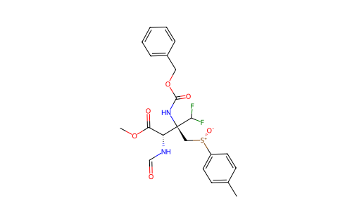 COC(=O)[C@@H](NC=O)[C@](C[S@+]([O-])c1ccc(C)cc1)(NC(=O)OCc1ccccc1)C(F)F